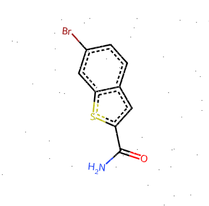 NC(=O)c1cc2ccc(Br)cc2s1